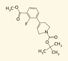 COC(=O)c1cccc(C2=CCN(C(=O)OC(C)(C)C)CC2)c1F